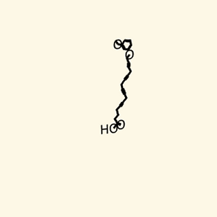 COc1cccc(OCC#CCC#CCC#CCC#CCCCC(=O)O)c1